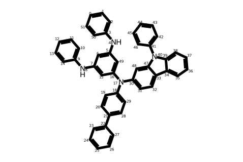 c1ccc(Nc2cc(Nc3ccccc3)cc(N(c3ccc(-c4ccccc4)cc3)c3ccc4c5ccccc5n(-c5ccccc5)c4c3)c2)cc1